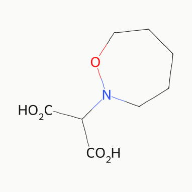 O=C(O)C(C(=O)O)N1CCCCCO1